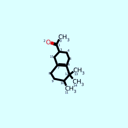 CC(=O)C1CCC2=C(CCC(C)C2(C)C)C1